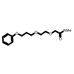 CNC(=O)COCCOCCCOc1ccccc1